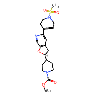 CC(C)(C)OC(=O)N1CCC([C@@H]2Cc3cc(C4=CCN(S(C)(=O)=O)CC4)ncc3O2)CC1